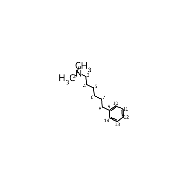 CN(C)CCCCCCc1ccccc1